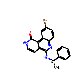 C[C@H](Nc1nc2ccc(Br)cc2c2c(=O)[nH]ccc12)c1ccccc1